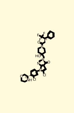 O=C(C[C@H](c1ccccc1)C(F)(F)F)N1CCC(O)(Cn2cnc3c(cc(Cl)n3-c3ccc([C@H]4COCCN4)c(Cl)c3)c2=O)CC1